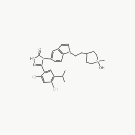 CC(C)c1cc(-c2n[nH]c(=O)n2-c2ccc3c(ccn3CCC3CC[Si](C)(O)CC3)c2)c(O)cc1O